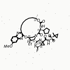 CC[C@@H]1[C@@H]2CN(C(=O)[C@H](C3CCCC3)NC(=O)O[C@@H](C)CCCCCCc3nc4ccc(OC)cc4nc3O2)[C@@H]1C(=O)N[C@]1(C(=O)NS(=O)(=O)C2(C)CC2)C[C@H]1C(F)F